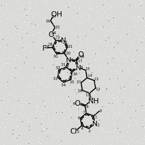 Cc1ncc(Cl)cc1C(=O)NC1CCC(Cn2c(=O)n(-c3cnc(OCCO)c(F)c3)c3ccccc32)CC1